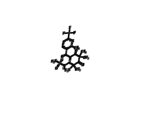 Cc1nc(C(F)(F)F)ccc1C(=O)C1=C(NS(C)(=O)=O)C(C)(C)C(=O)C(C)(C)C1=O